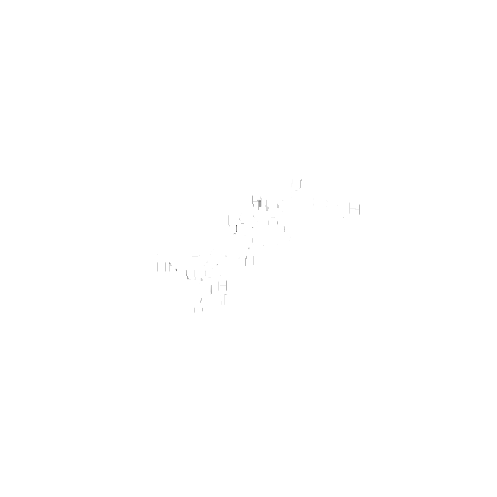 CC(C)C1=C2[C@H]3CC[C@@H]4[C@@]5(C)CC[C@H](OC(=O)[C@H]6C[C@@H](C(=O)O)C6(C)C)C(C)(C)[C@@H]5CC[C@@]4(C)[C@]3(C)CC[C@@]2(CCNCC2CCCC2)CC1=O